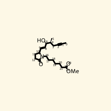 CC#CC[C@H](C)[C@H](O)C=CC1CCC(=O)N1CCCCCCC(=O)OC